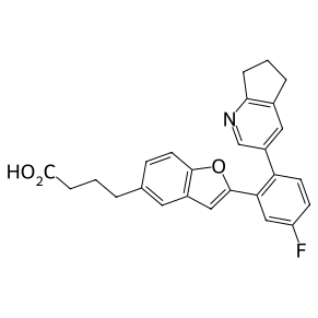 O=C(O)CCCc1ccc2oc(-c3cc(F)ccc3-c3cnc4c(c3)CCC4)cc2c1